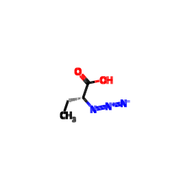 CC[C@@H](N=[N+]=[N-])C(=O)O